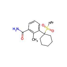 CCCS(=O)(=O)C1(c2cccc(C(N)=O)c2C)CCCCC1